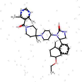 CCOC1CCC(C[C@@]2(c3ccccc3)CNC(=O)N2C2CCN(C3(C)CCN(C(=O)c4c(C)ncnc4C)CC3)CC2)CC1